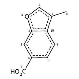 Cc1coc2cc(C(=O)O)ccc12